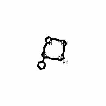 C1=Cc2cc3cc(-c4ccccc4)c(cc4nc(cc5ccc(cc1n2)[nH]5)C=C4)[nH]3.[Pd]